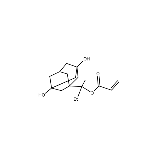 C=CC(=O)OC(C)(CC)C12CC3CC(O)(CC(O)(C3)C1)C2